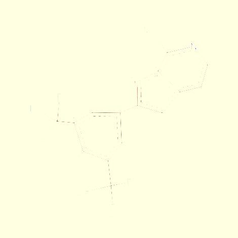 FC(F)(F)c1cc(-c2cc3ccnc(Cl)c3o2)cc(C(F)(F)F)c1